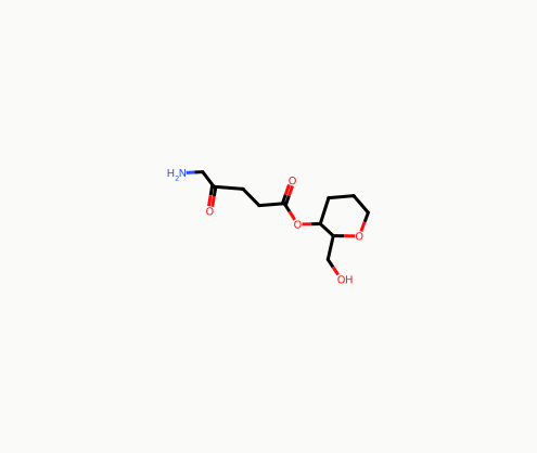 NCC(=O)CCC(=O)OC1CCCOC1CO